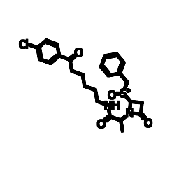 CC(C(=O)NCCCCCC(=O)c1ccc(Cl)cc1)N1C(=O)CC1[S+]([O-])Cc1ccccc1